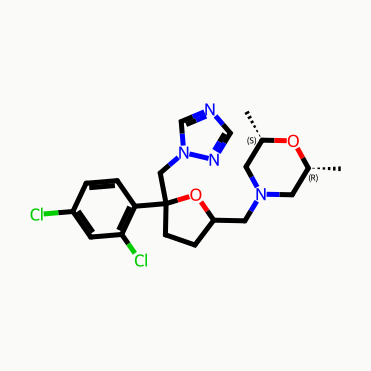 C[C@@H]1CN(CC2CCC(Cn3cncn3)(c3ccc(Cl)cc3Cl)O2)C[C@H](C)O1